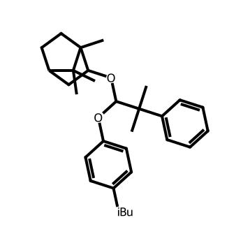 CCC(C)c1ccc(OC(OC2CC3CCC2(C)C3(C)C)C(C)(C)c2ccccc2)cc1